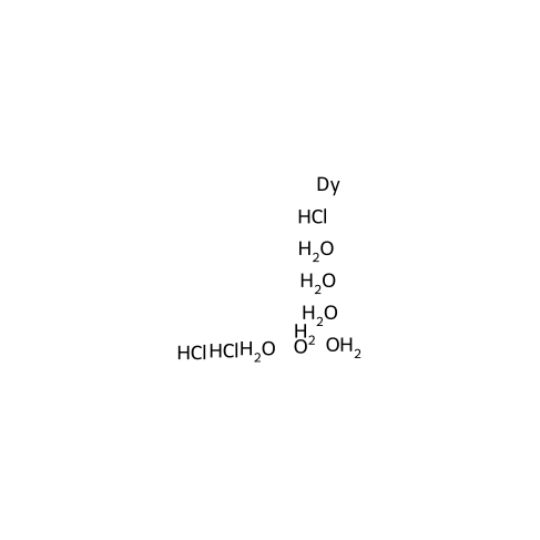 Cl.Cl.Cl.O.O.O.O.O.O.[Dy]